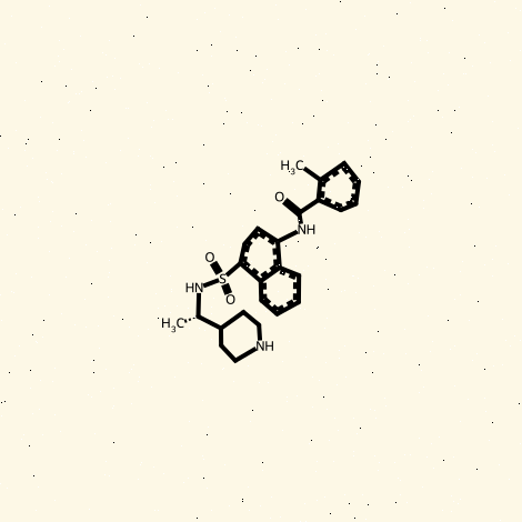 Cc1ccccc1C(=O)Nc1ccc(S(=O)(=O)N[C@@H](C)C2CCNCC2)c2ccccc12